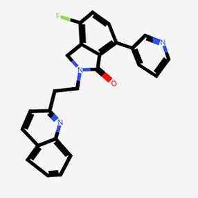 O=C1c2c(-c3cccnc3)ccc(F)c2CN1CCc1ccc2ccccc2n1